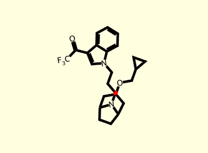 O=C(c1cn(CCCN2C3CCC2CC(OCC2CC2)C3)c2ccccc12)C(F)(F)F